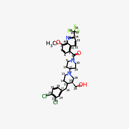 COc1ccc(C(=O)N2CCC(N3CCC(Cc4ccc(Cl)c(Cl)c4)[C@H](CO)C3)CC2)c2ccc(C(F)(F)F)nc12